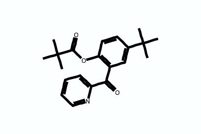 CC(C)(C)C(=O)Oc1ccc(C(C)(C)C)cc1C(=O)c1ccccn1